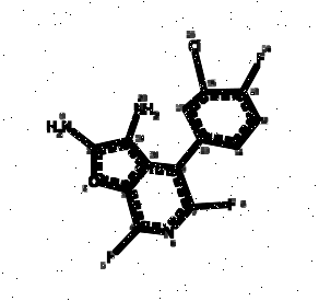 Nc1oc2c(F)nc(F)c(-c3ccc(F)c(Cl)c3)c2c1N